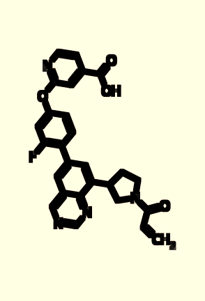 C=CC(=O)N1CCC(c2cc(-c3ccc(Oc4cc(C(=O)O)ccn4)cc3F)cc3cncnc23)C1